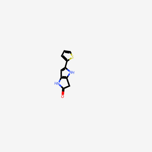 O=C1Cc2[nH]c(-c3cccs3)cc2N1